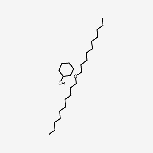 CCCCCCCCCCOCCCCCCCCCC.OC1CCCCC1